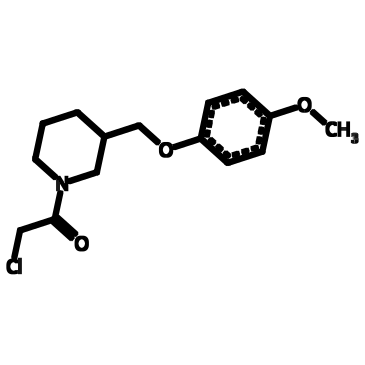 COc1ccc(OCC2CCCN(C(=O)CCl)C2)cc1